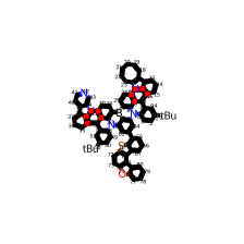 CC(C)(C)c1ccc(N2c3cc(-n4c5c(c6ccccc64)/C=C\C/C=C\C5)ccc3B3c4ccc(-n5c6ccccc6c6ccncc65)cc4N(c4ccc(C(C)(C)C)cc4-c4ccccc4)c4cc(-c5cccc6c5sc5ccc7oc8ccccc8c7c56)cc2c43)c(-c2ccccc2)c1